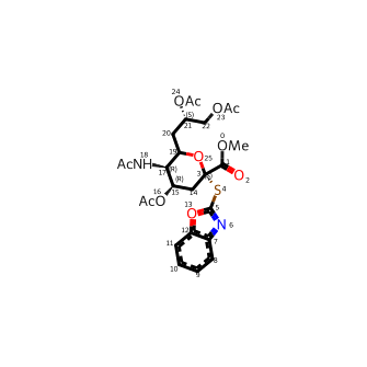 COC(=O)[C@@]1(Sc2nc3ccccc3o2)C[C@@H](OC(C)=O)[C@@H](NC(C)=O)C(C[C@@H](COC(C)=O)OC(C)=O)O1